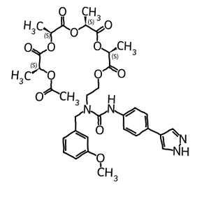 COc1cccc(CN(CCOC(=O)[C@H](C)OC(=O)[C@H](C)OC(=O)[C@H](C)OC(=O)[C@H](C)OC(C)=O)C(=O)Nc2ccc(-c3cn[nH]c3)cc2)c1